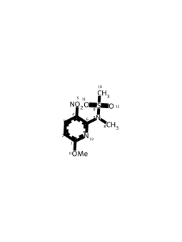 COc1ccc([N+](=O)[O-])c(N(C)S(C)(=O)=O)n1